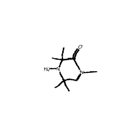 CN1CC(C)(C)N(O)C(C)(C)C1=O